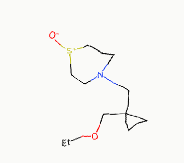 CCOCC1(CN2CC[S+]([O-])CC2)CC1